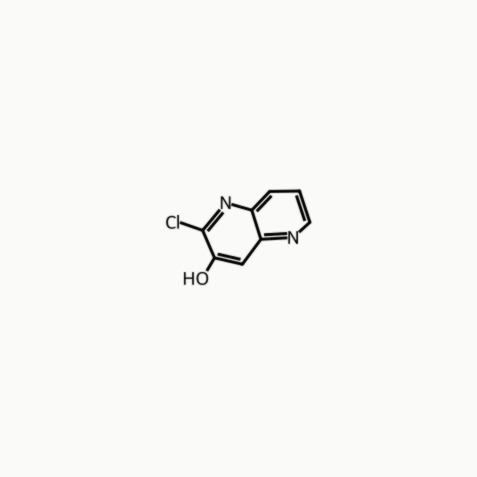 Oc1cc2ncccc2nc1Cl